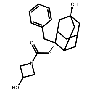 O=C(C[C@]1(Cc2ccccc2)C2CC3CC1C[C@@](O)(C3)C2)N1CC(O)C1